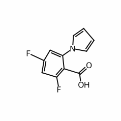 O=C(O)c1c(F)cc(F)cc1-n1cccc1